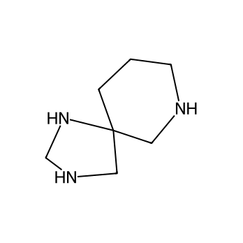 C1CNCC2(C1)CNCN2